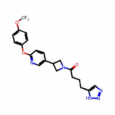 O=C(CCCc1cnn[nH]1)N1CC(c2ccc(Oc3ccc(OC(F)(F)F)cc3)nc2)C1